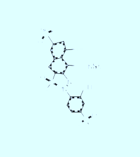 O=S(=O)([O-])c1cc(O)c2c(O)c(/N=N/c3ccc(S(=O)(=O)O)cc3O)c(S(=O)(=O)[O-])cc2c1.[Na+].[Na+]